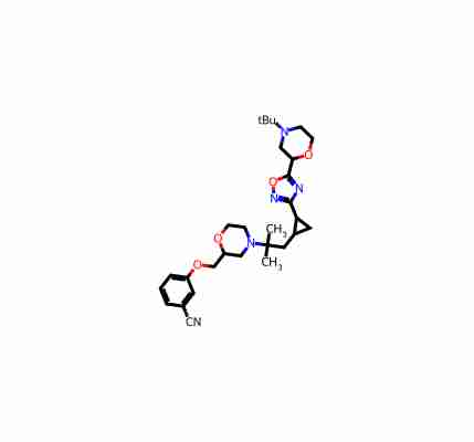 CC(C)(C)N1CCOC(c2nc(C3CC3CC(C)(C)N3CCOC(COc4cccc(C#N)c4)C3)no2)C1